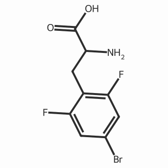 NC(Cc1c(F)cc(Br)cc1F)C(=O)O